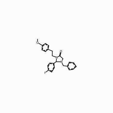 COc1ccc(CCN2C(=O)CN(Cc3ccccc3)C2c2ccc(F)cc2)cc1